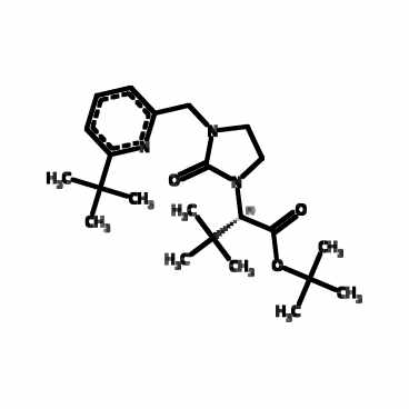 CC(C)(C)OC(=O)[C@@H](N1CCN(Cc2cccc(C(C)(C)C)n2)C1=O)C(C)(C)C